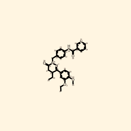 CCOc1cc(C2=NN(Cc3ccc(NC(=O)c4cccnc4)cc3)C(=O)CC2CC)ccc1OC